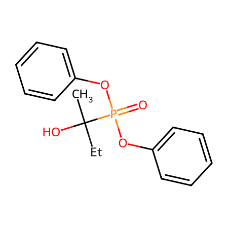 CCC(C)(O)P(=O)(Oc1ccccc1)Oc1ccccc1